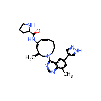 C=C1/C=C(NC(=O)[C@H]2CCCN2)\C=C/CCCN(c2ncnc3c(C)cc(-c4cn[nH]c4)cc23)C1